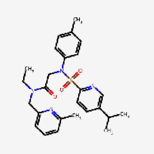 CCN(Cc1cccc(C)n1)C(=O)CN(c1ccc(C)cc1)S(=O)(=O)c1ccc(C(C)C)cn1